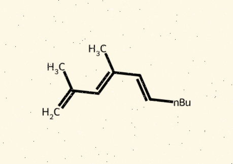 C=C(C)C=C(C)C=CCCCC